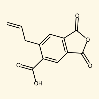 C=CCc1cc2c(cc1C(=O)O)C(=O)OC2=O